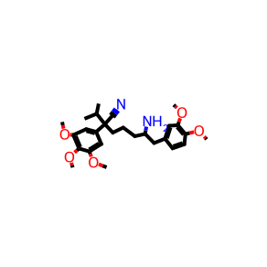 COc1ccc(CC(N)CCCC(C#N)(c2cc(OC)c(OC)c(OC)c2)C(C)C)cc1OC